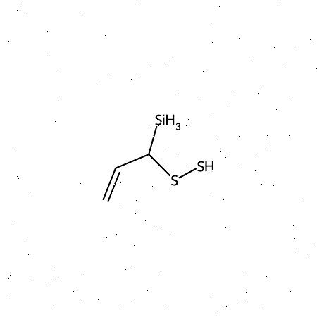 C=CC([SiH3])SS